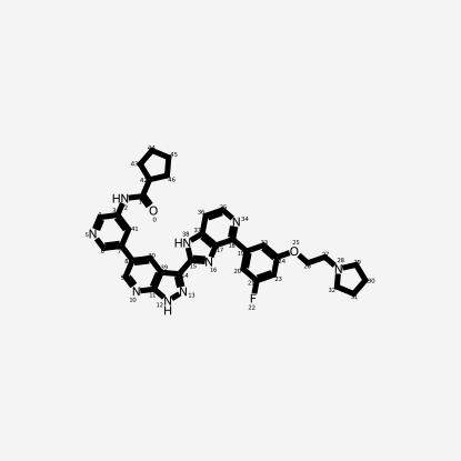 O=C(Nc1cncc(-c2cnc3[nH]nc(-c4nc5c(-c6cc(F)cc(OCCN7CCCC7)c6)nccc5[nH]4)c3c2)c1)C1CCCC1